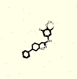 COc1c(F)cc(N/C(CC2CCC(c3ccccc3)CC2)=N/O)cc1F